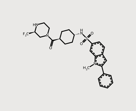 Cn1c(-c2ccccc2)cc2ccc(S(=O)(=O)N[C@H]3CC[C@H](C(=O)N4CCN[C@H](C(F)(F)F)C4)CC3)cc21